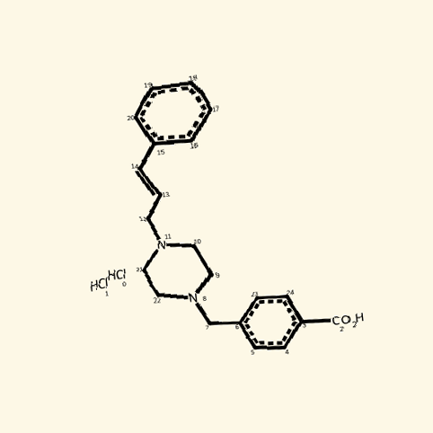 Cl.Cl.O=C(O)c1ccc(CN2CCN(C/C=C/c3ccccc3)CC2)cc1